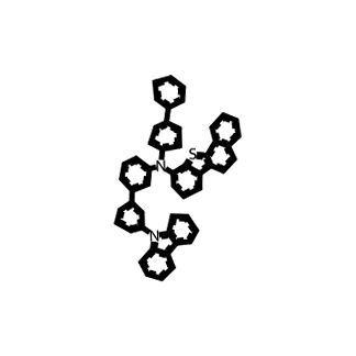 c1ccc(-c2ccc(N(c3cccc(-c4cccc(-n5c6ccccc6c6ccccc65)c4)c3)c3cccc4c3sc3c5ccccc5ccc43)cc2)cc1